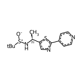 C[C@H](N[S+]([O-])C(C)(C)C)c1cnc(-c2ccncc2)s1